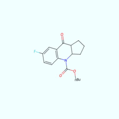 CCCCOC(=O)N1c2ccc(F)cc2C(=O)C2CCCC21